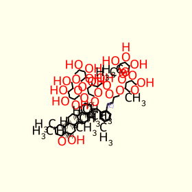 CC(=O)OC1C(OCC(=O)/C=C/c2ccc(C)cc2C[C@]2(C)[C@@H]3CC[C@]4(C)[C@H](CC[C@H]5[C@@H]6CC(C)(C)CC[C@]6(C=O)[C@H](O)C[C@]54C)[C@@]3(C)CC[C@@H]2OC2OC(C(=O)O)C(O)C(OC3OCC(O)C(O)C3O)C2OC2OC(CO)C(O)C(O)C2O)C(C)OC(O)C1OC1OC(C)C(O)C(O)C1O